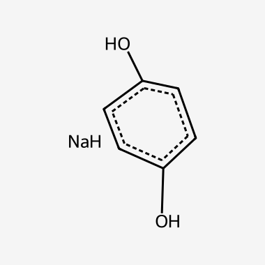 Oc1ccc(O)cc1.[NaH]